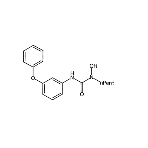 CCCCCN(O)C(=O)Nc1cccc(Oc2ccccc2)c1